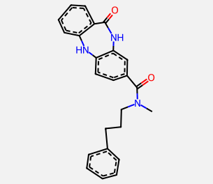 CN(CCCc1ccccc1)C(=O)c1ccc2c(c1)NC(=O)c1ccccc1N2